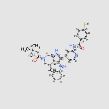 C=C1CN(C(=O)CC(C)(C)C)Cc2[nH]c(-c3ccnc(NC(=O)c4ccc(F)cc4)c3)c(Nc3ccccc3)c21